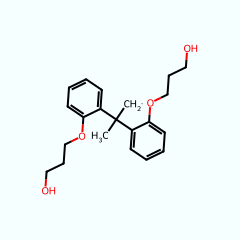 [CH2]C(C)(c1ccccc1OCCCO)c1ccccc1OCCCO